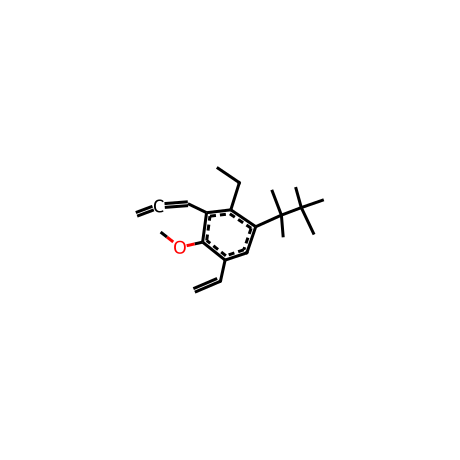 C=C=Cc1c(CC)c(C(C)(C)C(C)(C)C)cc(C=C)c1OC